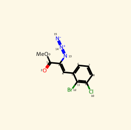 COC(=O)C(=Cc1cccc(Cl)c1Br)N=[N+]=[N-]